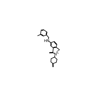 C=C1CCC(N2CCc3ccc(NCc4cccc(C)c4)cc3C2=C)CC1